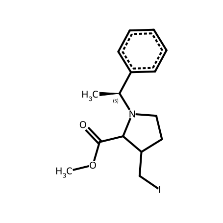 COC(=O)C1C(CI)CCN1[C@@H](C)c1ccccc1